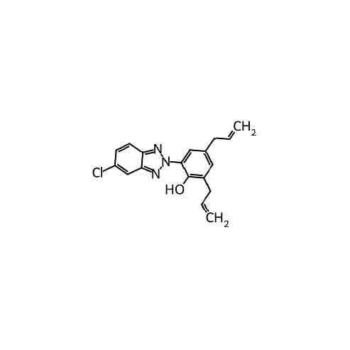 C=CCc1cc(CC=C)c(O)c(-n2nc3ccc(Cl)cc3n2)c1